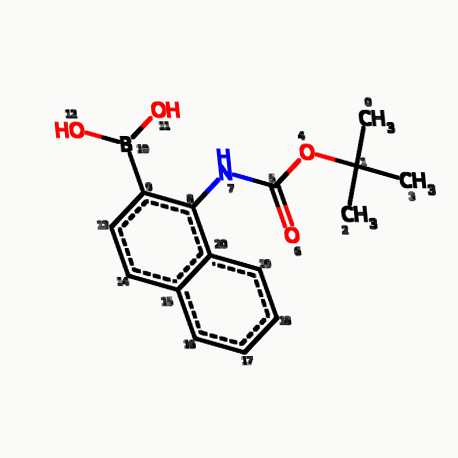 CC(C)(C)OC(=O)Nc1c(B(O)O)ccc2ccccc12